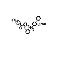 COc1cc(C(=O)N2Cc3ccc(C(=O)N4CCN(C(C)C)CC4)n3Cc3ccccc32)ccc1-c1ccccc1